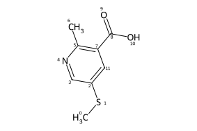 CSc1cnc(C)c(C(=O)O)c1